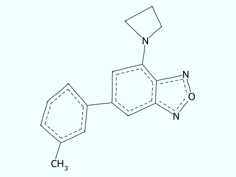 Cc1cccc(-c2cc(N3CCC3)c3nonc3c2)c1